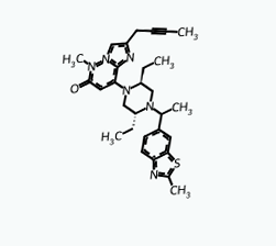 CC#CCc1cn2c(n1)c(N1C[C@@H](CC)N(C(C)c3ccc4nc(C)sc4c3)C[C@@H]1CC)cc(=O)n2C